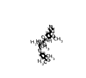 COc1cc(NC(=O)C(=O)NC(C)(C)CCOc2ccc(C(C)=O)c(C)c2)ccc1-c1cnco1